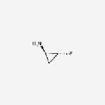 N[C@@H]1C[C@H]1F